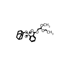 CCOC(COC(=O)c1ccccc1S(=O)(=O)OC1C2CC3CC(C2)CC1C3)OC